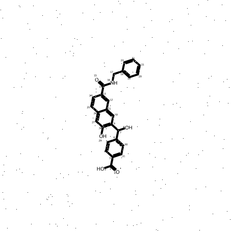 O=C(O)c1ccc(C(O)c2cc3cc(C(=O)NCc4ccccc4)ccc3cc2O)cc1